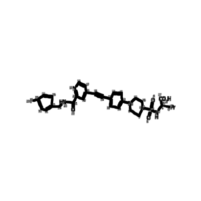 CC(C)[C@@H](NS(=O)(=O)N1CCN(c2ccc(C#Cc3ccnc(C(=O)NCc4ccc(F)cc4)c3)cc2)CC1)C(=O)O